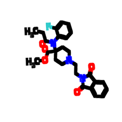 CCC(=O)N(c1ccccc1F)C1(C(=O)OC)CCN(CCN2C(=O)c3ccccc3C2=O)CC1